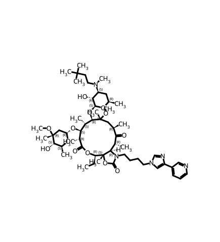 CC[C@H]1OC(=O)[C@H](C)[C@@H](O[C@H]2C[C@@](C)(OC)[C@@H](O)[C@H](C)O2)[C@H](C)[C@@H](O[C@@H]2O[C@H](C)C[C@H](N(C)CCC(C)(C)C)[C@H]2O)[C@](C)(OC)C[C@@H](C)C(=O)[C@H](C)[C@H]2N(CCCCn3cnc(-c4cccnc4)c3)C(=O)O[C@]12C